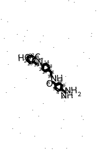 N=C(N)c1ccc(C(=O)NCCc2ccc(N(CC(=O)O)Cc3ccccc3)cc2)cc1